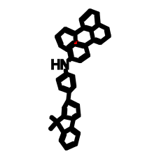 CC1(C)c2ccccc2-c2ccc(-c3ccc(Nc4ccc(-c5cccc6cccc(-c7ccccc7)c56)cc4)cc3)cc21